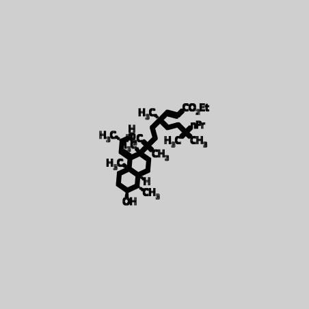 CCCC(C)(C)CC[C@](C)(/C=C/C(=O)OCC)CCC(C)(C)[C@]1(C)CC[C@H]2[C@H](C)[C@@H](O)CC[C@]2(C)/C1=C/[C@H](C)O